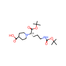 CC(C)(C)OC(=O)NCCC[C@@H](C(=O)OC(C)(C)C)N1CCC(C(=O)O)CC1